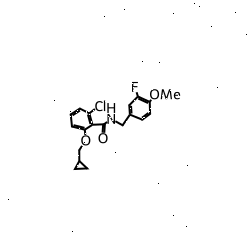 COc1ccc(CNC(=O)c2c(Cl)cccc2OCC2CC2)cc1F